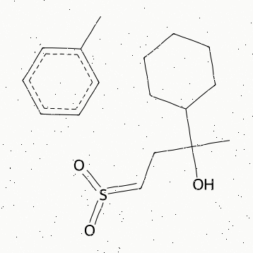 CC(O)(CC=S(=O)=O)C1CCCCC1.Cc1ccccc1